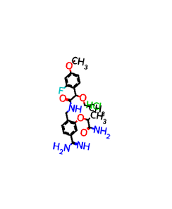 CCOC(C(=O)NCc1ccc(C(=N)N)cc1O[C@@H](C)C(N)=O)c1ccc(OC)cc1F.Cl